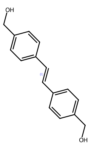 OCc1ccc(/C=C/c2ccc(CO)cc2)cc1